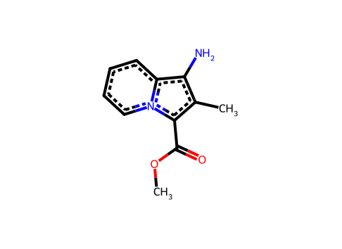 COC(=O)c1c(C)c(N)c2ccccn12